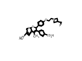 CC1=C(c2ccc(C(=O)O)cc2)C(c2ccc(OCCN3CC(CF)C3)cc2)Oc2ccc(O)cc21